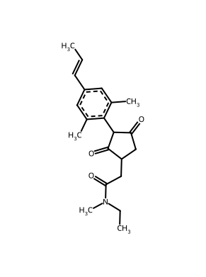 C/C=C/c1cc(C)c(C2C(=O)CC(CC(=O)N(C)CC)C2=O)c(C)c1